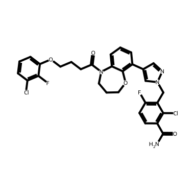 NC(=O)c1ccc(F)c(Cn2cc(-c3cccc4c3OCCCN4C(=O)CCCOc3cccc(Cl)c3F)cn2)c1Cl